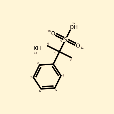 CC(C)(c1ccccc1)S(=O)(=O)O.[KH]